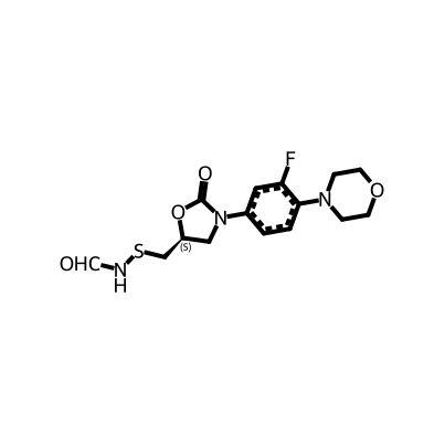 O=CNSC[C@@H]1CN(c2ccc(N3CCOCC3)c(F)c2)C(=O)O1